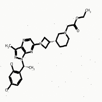 CCOC(=O)CN1CCC[C@H](C2CN(c3cnc4c(C)nn([C@H](C)c5ccc(Cl)cc5Cl)c4n3)C2)C1